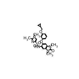 Cc1nc(S(=O)(=O)Nc2cc3c(cc2Oc2cccc(OCC4CC4)c2)n(C)c(=O)n3C)cn1C